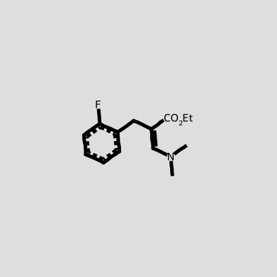 CCOC(=O)C(=CN(C)C)Cc1ccccc1F